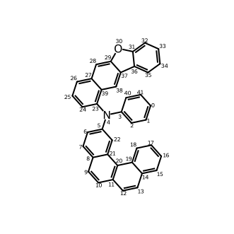 c1ccc(N(c2ccc3ccc4ccc5ccccc5c4c3c2)c2cccc3cc4oc5ccccc5c4cc23)cc1